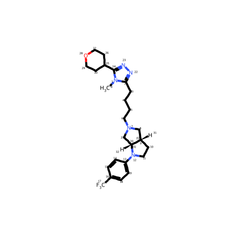 Cn1c(CCCCN2C[C@@H]3CCN(c4ccc(C(F)(F)F)cc4)[C@@H]3C2)nnc1C1CCOCC1